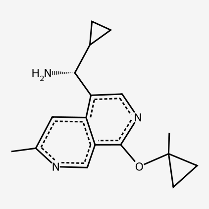 Cc1cc2c([C@H](N)C3CC3)cnc(OC3(C)CC3)c2cn1